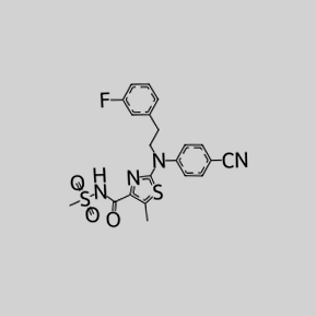 Cc1sc(N(CCc2cccc(F)c2)c2ccc(C#N)cc2)nc1C(=O)NS(C)(=O)=O